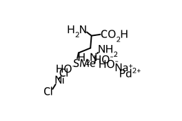 CSCCC(N)C(=O)O.NN.[Cl][Ni][Cl].[Na+].[OH-].[OH-].[OH-].[Pd+2]